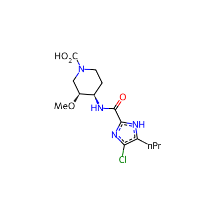 CCCc1[nH]c(C(=O)N[C@@H]2CCN(C(=O)O)C[C@@H]2OC)nc1Cl